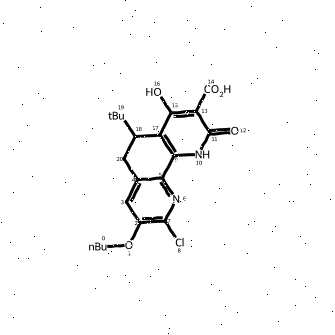 CCCCOc1cc2c(nc1Cl)-c1[nH]c(=O)c(C(=O)O)c(O)c1C(C(C)(C)C)C2